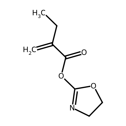 C=C(CC)C(=O)OC1=NCCO1